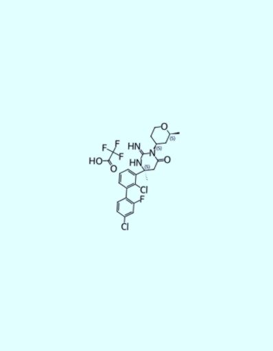 C[C@H]1C[C@@H](N2C(=N)N[C@](C)(c3cccc(-c4ccc(Cl)cc4F)c3Cl)CC2=O)CCO1.O=C(O)C(F)(F)F